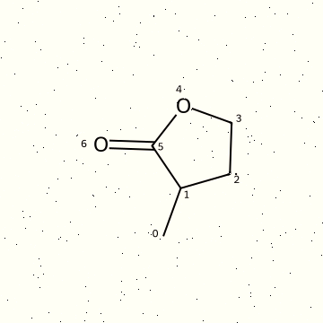 CC1[CH]COC1=O